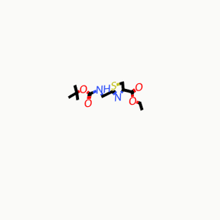 CCOC(=O)C1CSC(CNC(=O)OC(C)(C)C)=N1